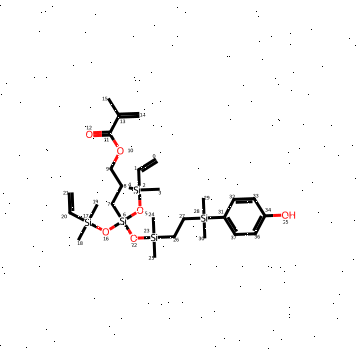 C=C[Si](C)(C)O[Si](CCCOC(=O)C(=C)C)(O[Si](C)(C)C=C)O[Si](C)(C)CC[Si](C)(C)c1ccc(O)cc1